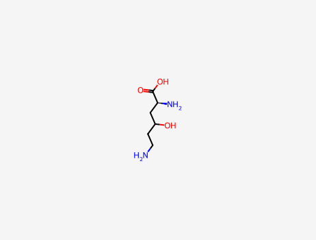 NCCC(O)C[C@H](N)C(=O)O